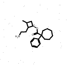 CC1C[C@@H](OC(=O)C2(c3ccccc3)CCCCCC2)C1CCN